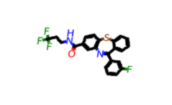 O=C(NCCC(F)(F)F)c1ccc2c(c1)N=C(c1cccc(F)c1)c1ccccc1S2